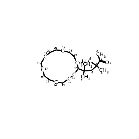 CC(=O)C(C)(C)CC(C)(C)C1CCCCCCCCCCCCCCC1